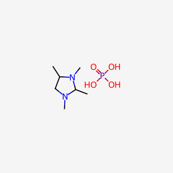 CC1CN(C)C(C)N1C.O=P(O)(O)O